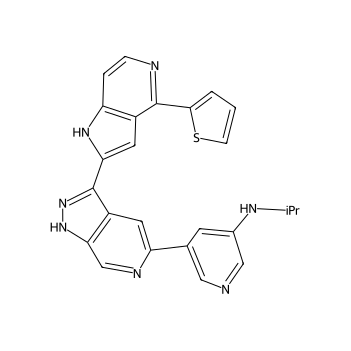 CC(C)Nc1cncc(-c2cc3c(-c4cc5c(-c6cccs6)nccc5[nH]4)n[nH]c3cn2)c1